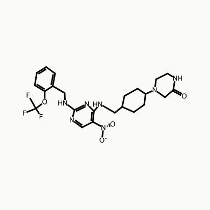 O=C1CN(C2CCC(CNc3nc(NCc4ccccc4OC(F)(F)F)ncc3[N+](=O)[O-])CC2)CCN1